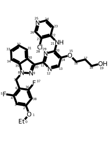 CCOc1cc(F)c(Cn2nc(-c3ncc(OCCCO)c(Nc4ccncc4Cl)n3)c3ccccc32)c(F)c1